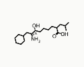 CC(C)CC(CCCC[C@H](O)[C@@H](N)CC1CCCCC1)C(=O)O